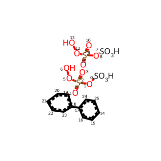 O=S(=O)(O)OS(=O)(=O)OO.O=S(=O)(O)OS(=O)(=O)OO.c1ccc(-c2ccccc2)cc1